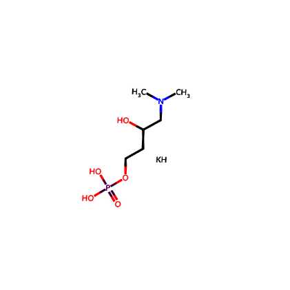 CN(C)CC(O)CCOP(=O)(O)O.[KH]